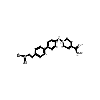 CCN(CC)CCc1ccc(-c2ccc(SN3CC=C(C(=O)NC)CC3)cc2)cc1